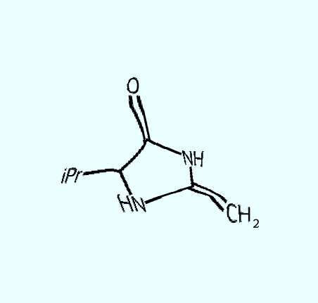 C=C1NC(=O)C(C(C)C)N1